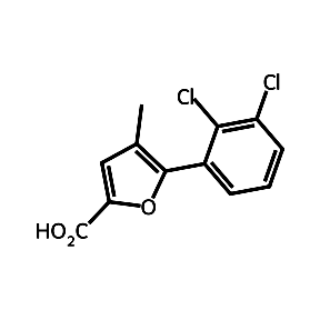 Cc1cc(C(=O)O)oc1-c1cccc(Cl)c1Cl